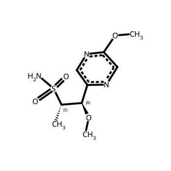 COc1cnc([C@@H](OC)[C@H](C)S(N)(=O)=O)cn1